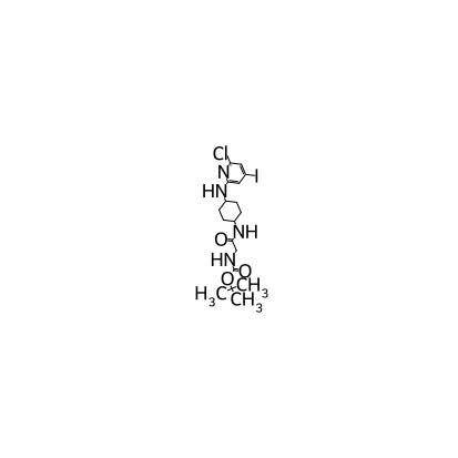 CC(C)(C)OC(=O)NCC(=O)NC1CCC(Nc2cc(I)cc(Cl)n2)CC1